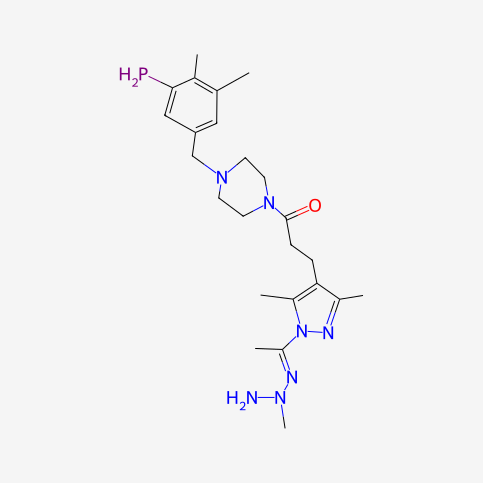 C/C(=N\N(C)N)n1nc(C)c(CCC(=O)N2CCN(Cc3cc(C)c(C)c(P)c3)CC2)c1C